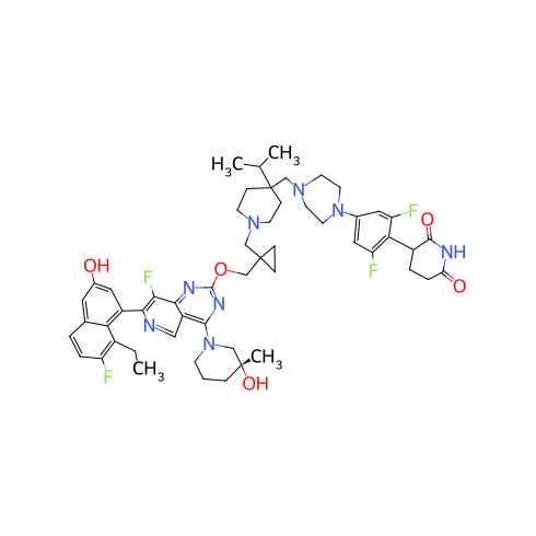 CCc1c(F)ccc2cc(O)cc(-c3ncc4c(N5CCC[C@@](C)(O)C5)nc(OCC5(CN6CCC(CN7CCN(c8cc(F)c(C9CCC(=O)NC9=O)c(F)c8)CC7)(C(C)C)CC6)CC5)nc4c3F)c12